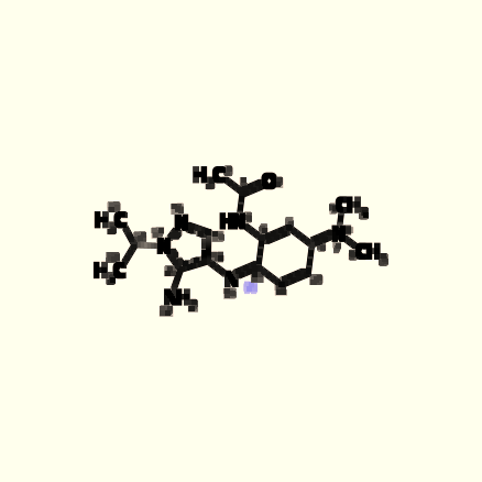 CC(=O)NC1=CC(=[N+](C)C)C=C/C1=N/c1cnn(C(C)C)c1N